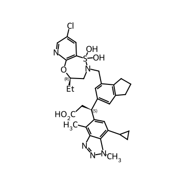 CC[C@@H]1CN(Cc2cc([C@H](CC(=O)O)c3cc(C4CC4)c4c(nnn4C)c3C)cc3c2CCC3)S(O)(O)c2cc(Cl)cnc2O1